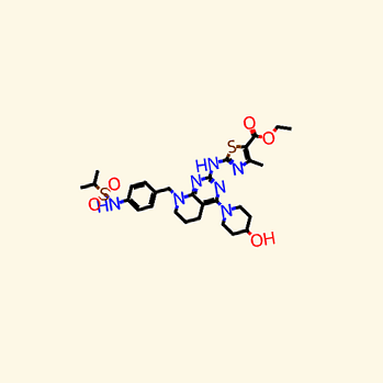 CCOC(=O)c1sc(Nc2nc(N3CCC(O)CC3)c3c(n2)N(Cc2ccc(NS(=O)(=O)C(C)C)cc2)CCC3)nc1C